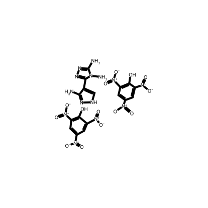 Nc1n[nH]cc1-c1nnc(N)n1N.O=[N+]([O-])c1cc([N+](=O)[O-])c(O)c([N+](=O)[O-])c1.O=[N+]([O-])c1cc([N+](=O)[O-])c(O)c([N+](=O)[O-])c1